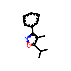 Cc1c(-c2ccccc2)noc1C(C)C